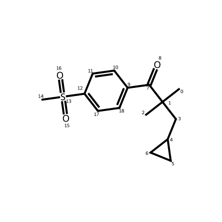 CC(C)(CC1CC1)C(=O)c1ccc(S(C)(=O)=O)cc1